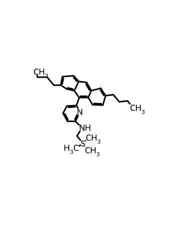 CCCCc1ccc2c(-c3cccc(NCS(C)(C)C)n3)c3cc(CCCC)ccc3cc2c1